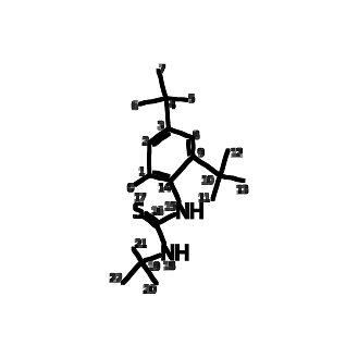 Cc1cc(C(C)(C)C)cc(C(C)(C)C)c1NC(=S)NC(C)(C)C